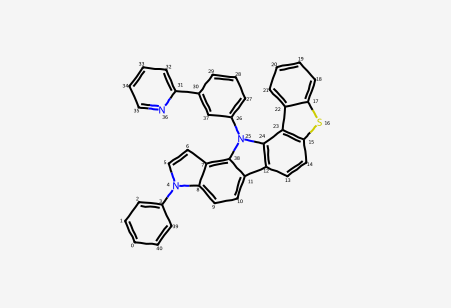 c1ccc(-n2ccc3c2ccc2c4ccc5sc6ccccc6c5c4n(-c4cccc(-c5ccccn5)c4)c23)cc1